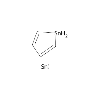 C1=[CH][SnH2][CH]=C1.[Sn]